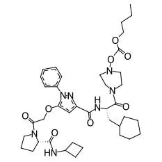 CCCCOC(=O)ON1CCN(C(=O)[C@H](CC2CCCCC2)NC(=O)c2cc(OCC(=O)N3CCC[C@H]3C(=O)NC3CCC3)n(-c3ccccc3)n2)CC1